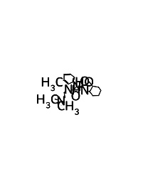 Cc1cccc2c1n(CCN(C)C)c(=O)n2C(=O)NC1CCCC[C@@H]1O